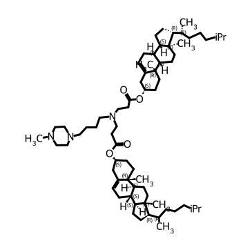 CC(C)CCC[C@@H](C)[C@H]1CC[C@H]2[C@@H]3CC=C4C[C@@H](OC(=O)CCN(CCCCN5CCN(C)CC5)CCC(=O)O[C@H]5CC[C@@]6(C)C(=CC[C@H]7[C@@H]8CC[C@H]([C@H](C)CCCC(C)C)[C@@]8(C)CC[C@@H]76)C5)CC[C@]4(C)[C@H]3CC[C@]12C